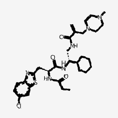 C=C(CN1CCN(C)CC1)C(=O)NC[C@@H](NC(=O)[C@H](Cc1nc2ccc(Cl)cc2s1)NC(=O)CC)C1CCCCC1